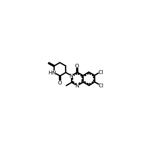 C=C1CCC(n2c(C)nc3cc(Cl)c(Cl)cc3c2=O)C(=O)N1